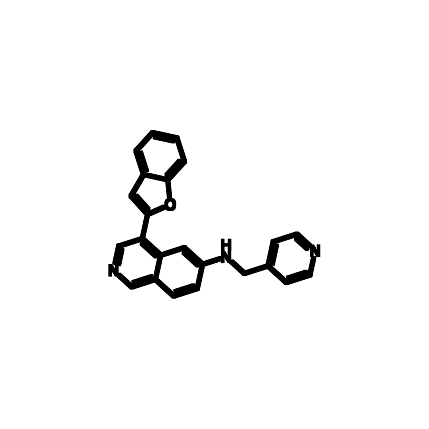 c1ccc2oc(-c3cncc4ccc(NCc5ccncc5)cc34)cc2c1